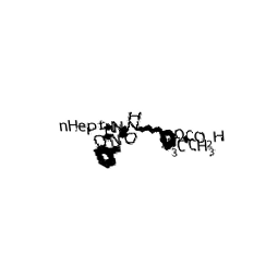 CCCCCCCn1nc(NCCCCc2cccc(OC(C)(C)C(=O)O)c2)c(=O)n(Cc2ccccc2)c1=O